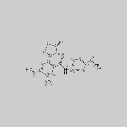 CCNc1cc(N2CC[C@@H](F)C2)c(C(=O)Nc2ccc(OC(F)(F)F)cc2)cc1[N+](=O)[O-]